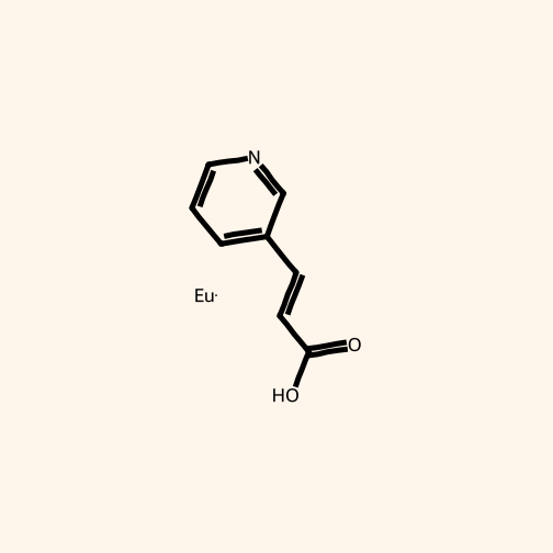 O=C(O)C=Cc1cccnc1.[Eu]